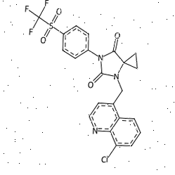 O=C1N(c2ccc(S(=O)(=O)C(F)(F)F)cc2)C(=O)C2(CC2)N1Cc1ccnc2c(Cl)cccc12